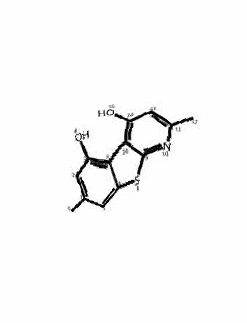 Cc1cc(O)c2c(c1)sc1nc(C)cc(O)c12